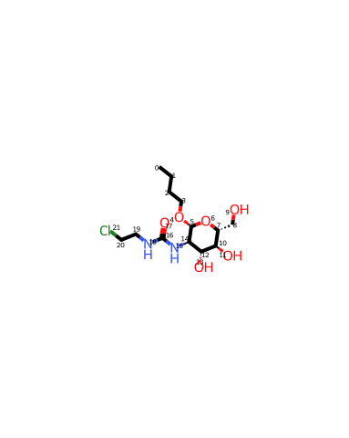 CCCCO[C@H]1O[C@H](CO)[C@@H](O)[C@H](O)[C@H]1NC(=O)NCCCl